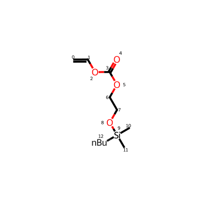 C=COC(=O)OCCO[Si](C)(C)CCCC